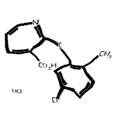 Cc1ccc(Cl)cc1Sc1ncccc1C(=O)O.Cl